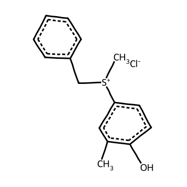 Cc1cc([S+](C)Cc2ccccc2)ccc1O.[Cl-]